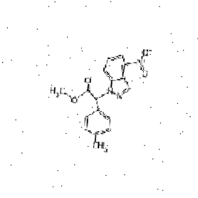 COC(=O)C(c1ccc(C)cc1)n1ncc2c([N+](=O)[O-])cccc21